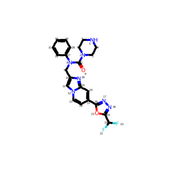 O=C(N1CCNCC1)N(Cc1cn2ccc(-c3nnc(C(F)F)o3)cc2n1)c1ccccc1